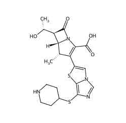 C[C@@H](O)[C@H]1C(=O)N2C(C(=O)O)=C(c3cn4cnc(SC5CCNCC5)c4s3)[C@H](C)[C@H]12